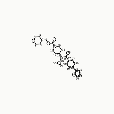 O=C(OCC1CCOCC1)N1CCC(N(C(=O)c2ccc(-c3cnco3)cc2)C2CC2)CC1